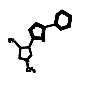 CC(C)C1CN(C)CC1c1ccc(-c2ccccc2)s1